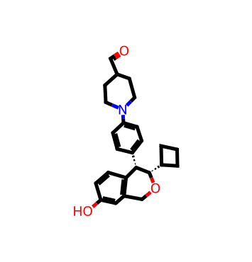 O=CC1CCN(c2ccc([C@H]3c4ccc(O)cc4CO[C@H]3C3CCC3)cc2)CC1